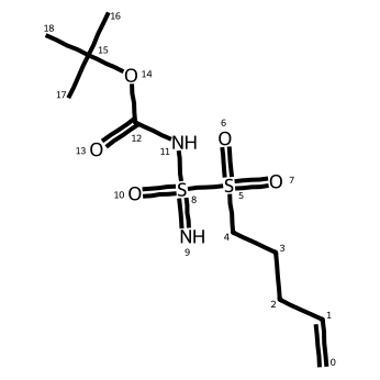 C=CCCCS(=O)(=O)S(=N)(=O)NC(=O)OC(C)(C)C